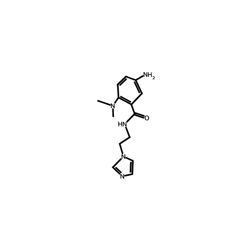 CN(C)c1ccc(N)cc1C(=O)NCCn1ccnc1